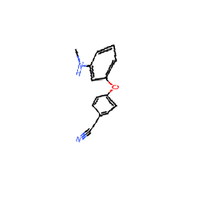 CNc1cccc(Oc2ccc(C#N)cc2)c1